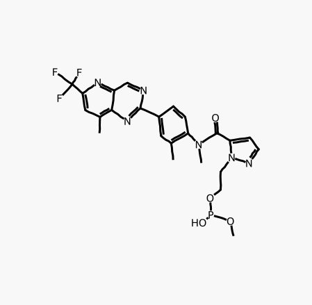 COP(O)OCCn1nccc1C(=O)N(C)c1ccc(-c2ncc3nc(C(F)(F)F)cc(C)c3n2)cc1C